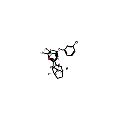 CCCn1nc(N[C@@H]2[C@@H]3CC[C@H]2CN(c2ccnc(Cl)c2)C3)nc1Oc1cccc(Cl)c1